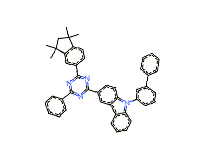 CC1(C)CC(C)(C)c2cc(-c3nc(-c4ccccc4)nc(-c4ccc5c(c4)c4ccccc4n5-c4cccc(-c5ccccc5)c4)n3)ccc21